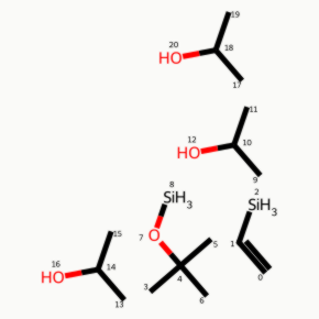 C=C[SiH3].CC(C)(C)O[SiH3].CC(C)O.CC(C)O.CC(C)O